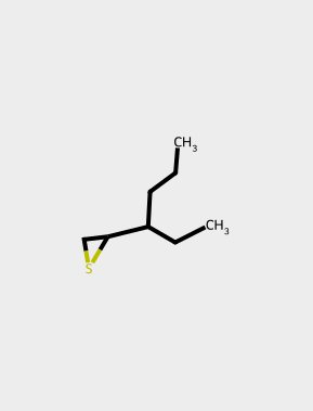 CCCC(CC)C1CS1